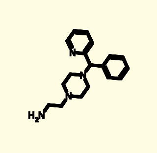 NCCN1CCN(C(c2ccccc2)c2ccccn2)CC1